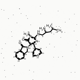 CC(C)CC(N)CNc1nc(-c2ccncc2)c(N2Cc3ccccc3C2=O)c(=O)n1C